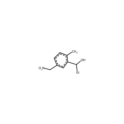 CCC(O)c1cc(C[N+](=O)[O-])ccc1C